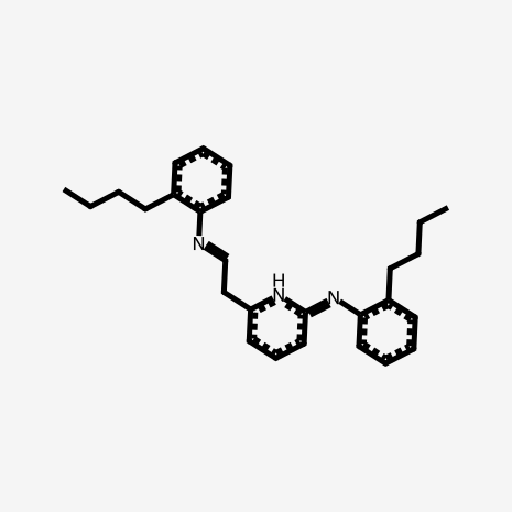 CCCCc1ccccc1N=CCc1cccc(=Nc2ccccc2CCCC)[nH]1